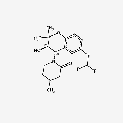 CN1CCN([C@H]2c3cc(SC(F)F)ccc3OC(C)(C)[C@@H]2O)C(=O)C1